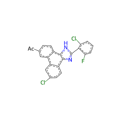 CC(=O)c1ccc2c(c1)c1cc(Cl)ccc1c1nc(-c3c(F)cccc3Cl)[nH]c21